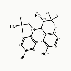 CC(C)(O)CN(c1ccc(F)cc1)C1c2cc(C#N)ccc2OC(C)(C)[C@@H]1O